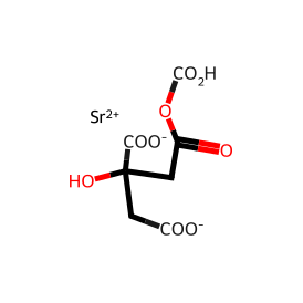 O=C([O-])CC(O)(CC(=O)OC(=O)O)C(=O)[O-].[Sr+2]